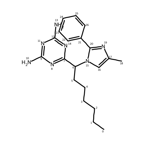 CCCCCCC(c1nc(N)nc(N)n1)n1cc(C)nc1-c1ccccc1